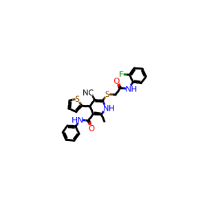 CC1=C(C(=O)Nc2ccccc2)C(c2cccs2)C(C#N)=C(SCC(=O)Nc2ccccc2F)N1